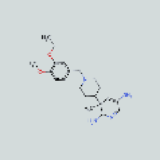 CCOc1cc(CN2CCC(C3(C)C=C(N)C=NC3N)CC2)ccc1OC